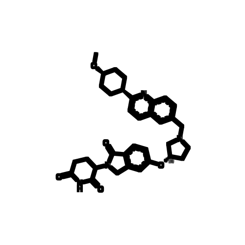 CO[C@H]1CC[C@@H](c2ccc3cc(CN4CC[C@H](Oc5ccc6c(c5)CN(C5CCC(=O)NC5=O)C6=O)C4)ccc3n2)CC1